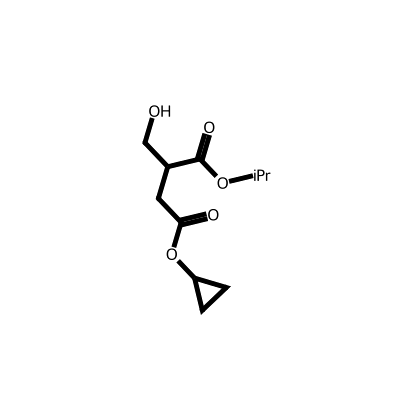 CC(C)OC(=O)C(CO)CC(=O)OC1CC1